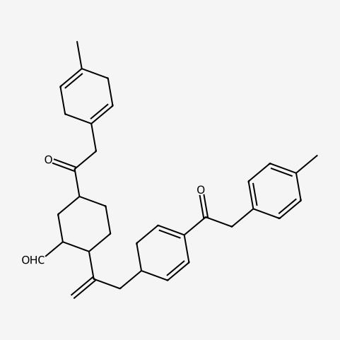 C=C(CC1C=CC(C(=O)Cc2ccc(C)cc2)=CC1)C1CCC(C(=O)CC2=CCC(C)=CC2)CC1C=O